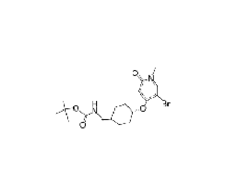 Cn1cc(Br)c(O[C@H]2CC[C@H](CNC(=O)OC(C)(C)C)CC2)cc1=O